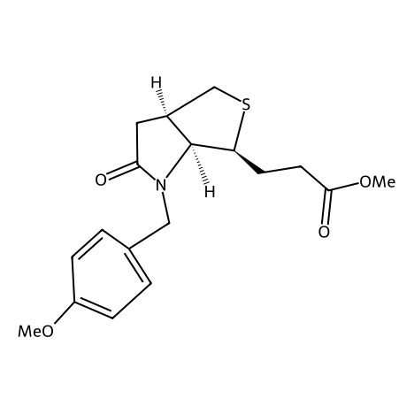 COC(=O)CC[C@@H]1SC[C@@H]2CC(=O)N(Cc3ccc(OC)cc3)[C@@H]21